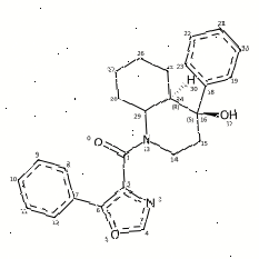 O=C(c1ncoc1-c1ccccc1)N1CC[C@@](O)(c2ccccc2)[C@@H]2CCCCC21